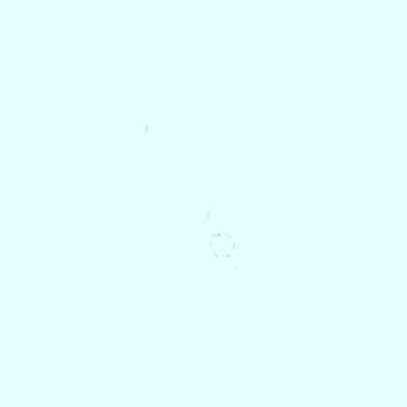 CCOc1ccc(/C=C/C2CCC(C3CCC(C=O)CC3)OC2)c(F)c1C(F)F